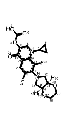 O=C(O)Oc1cn(C2CC2)c2c(F)c(N3C[C@@H]4NCCO[C@@H]4C3)c(F)cc2c1=O